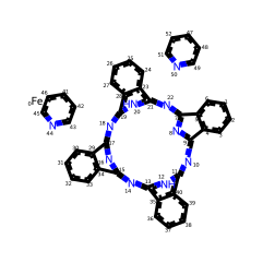 [Fe].c1ccc2c(c1)-c1nc-2nc2[nH]c(nc3nc(nc4[nH]c(n1)c1ccccc41)-c1ccccc1-3)c1ccccc21.c1ccncc1.c1ccncc1